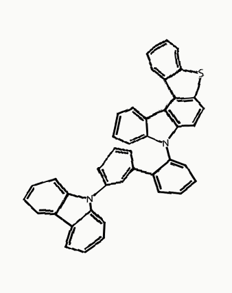 c1cc(-c2ccccc2-n2c3ccccc3c3c4c(ccc32)sc2ccccc24)cc(-n2c3ccccc3c3ccccc32)c1